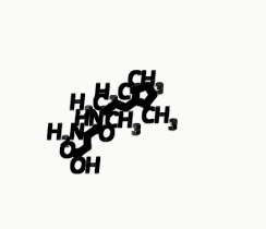 CC1CCC(C)(C)C1CCC(C)(C)NC(=O)[C@@H](N)CC(=O)O